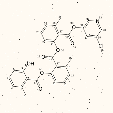 Cc1cccc(O)c1C(=O)Oc1cccc(C)c1C(=O)Oc1cccc(C)c1C(=O)Oc1cncc(Cl)c1